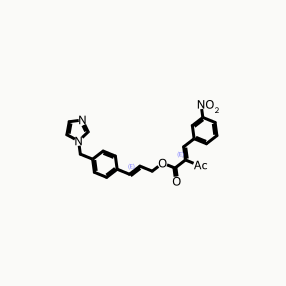 CC(=O)/C(=C\c1cccc([N+](=O)[O-])c1)C(=O)OC/C=C/c1ccc(Cn2ccnc2)cc1